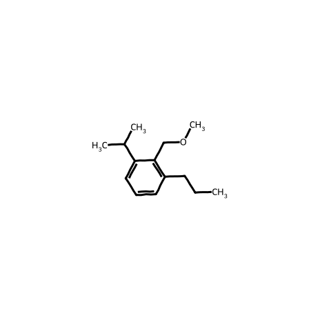 CCCc1cccc(C(C)C)c1COC